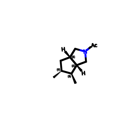 CC(=O)N1C[C@H]2C[C@@H](C)[C@H](C)[C@H]2C1